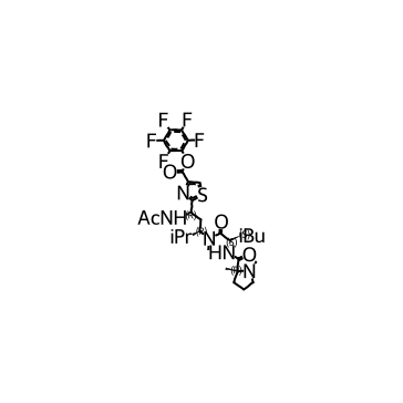 CC[C@H](C)[C@H](NC(=O)[C@@]1(C)CCCN1C)C(=O)N(C)[C@H](C[C@@H](NC(C)=O)c1nc(C(=O)Oc2c(F)c(F)c(F)c(F)c2F)cs1)C(C)C